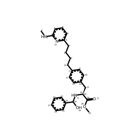 CNc1cccc(CCCCc2ccc(C[C@H](NC(O)c3ccccc3)C(=O)OC)cc2)n1